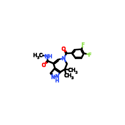 CNC(=O)C1=CN(C(=O)c2ccc(F)c(F)c2)CC(C)(C)c2[nH]ncc21